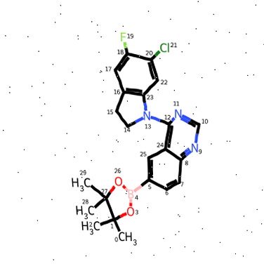 CC1(C)OB(c2ccc3ncnc(N4CCc5cc(F)c(Cl)cc54)c3c2)OC1(C)C